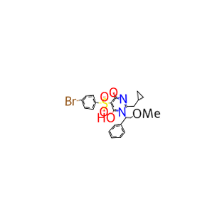 COCC(c1ccccc1)n1c(CC2CC2)nc(=O)c(S(=O)(=O)c2ccc(Br)cc2)c1O